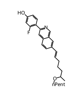 CCCCCOC(C)CCCC=Cc1ccc2cc(-c3ccc(O)cc3F)ncc2c1